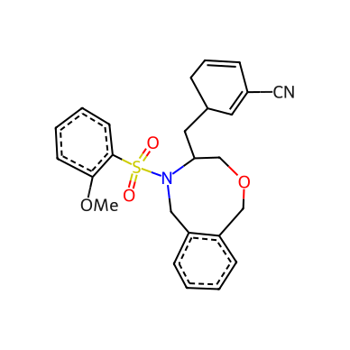 COc1ccccc1S(=O)(=O)N1Cc2ccccc2COCC1CC1C=C(C#N)C=CC1